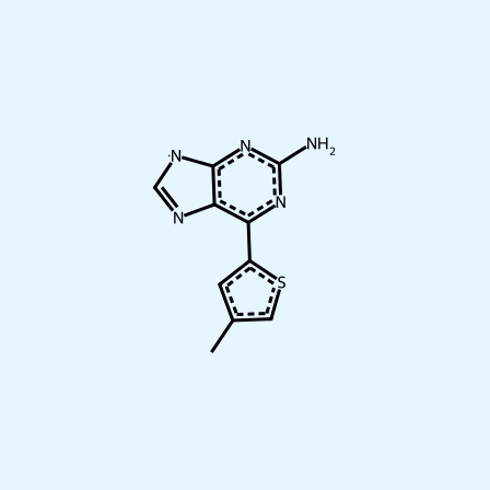 Cc1csc(-c2nc(N)nc3c2N=C[N]3)c1